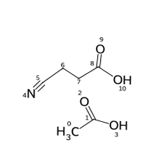 CC(=O)O.N#CCCC(=O)O